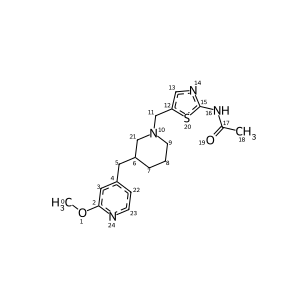 COc1cc(CC2CCCN(Cc3cnc(NC(C)=O)s3)C2)ccn1